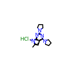 Cc1cc2c(N3CCCC3)nc(N3CCCC3)nc2n1C.Cl